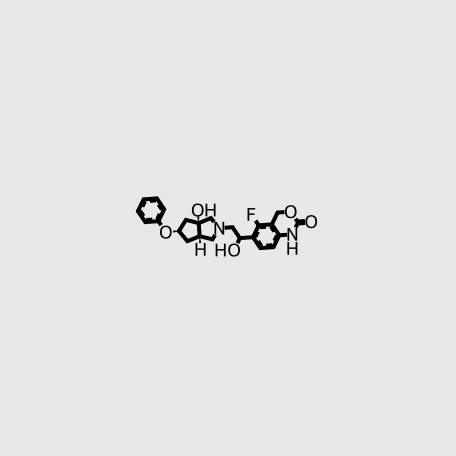 O=C1Nc2ccc(C(O)CN3C[C@H]4C[C@H](Oc5ccccc5)C[C@@]4(O)C3)c(F)c2CO1